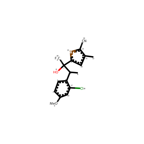 COc1ccc(C(C)C(O)(c2cc(C)c(C#N)s2)C(F)(F)F)c(Cl)c1